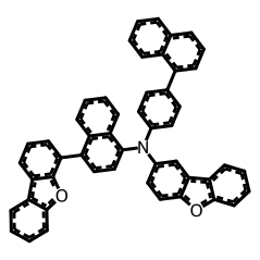 c1ccc2c(-c3ccc(N(c4ccc5oc6ccccc6c5c4)c4ccc(-c5cccc6c5oc5ccccc56)c5ccccc45)cc3)cccc2c1